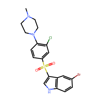 CN1CCN(c2ccc(S(=O)(=O)c3c[nH]c4ccc(Br)cc34)cc2Cl)CC1